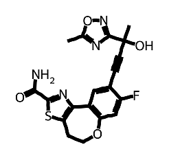 Cc1nc(C(C)(O)C#Cc2cc3c(cc2F)OCCc2sc(C(N)=O)nc2-3)no1